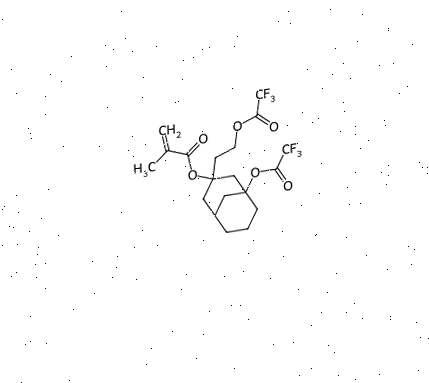 C=C(C)C(=O)OC1(CCOC(=O)C(F)(F)F)CC2CCCC(OC(=O)C(F)(F)F)(C2)C1